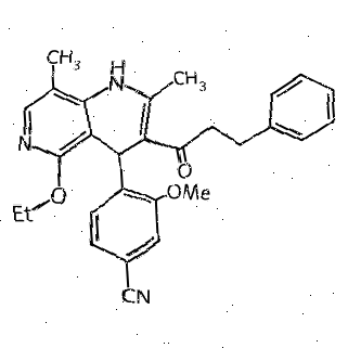 CCOc1ncc(C)c2c1C(c1ccc(C#N)cc1OC)C(C(=O)CCc1ccccc1)=C(C)N2